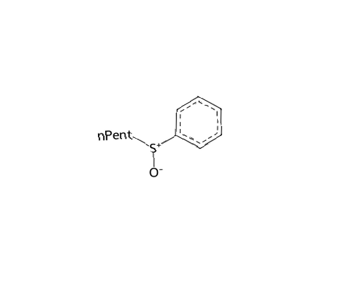 CCCCC[S+]([O-])c1ccccc1